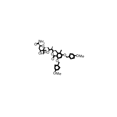 COc1ccc(COc2cc(OCc3ccc(OC)cc3)c3c(c2C)C[C@H]([C@H](C)[C@@H](O)C[C@H]2O[C@H](C(N)=O)CC(O)C2(C)C)OC3=O)cc1